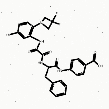 O=C(Nc1cc(Cl)ccc1N1CC(F)(F)C1)C(=O)NC(Cc1ccccc1)C(=O)Nc1ccc(C(=O)O)cc1